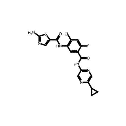 Nc1ncc(C(=O)Nc2cc(C(=O)Nc3cnc(C4CC4)cn3)c(F)cc2Cl)s1